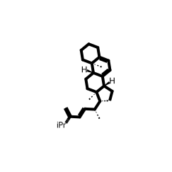 C=C(C=C[C@@H](C)[C@H]1CC[C@H]2C3=CC=C4CCCC[C@]4(C)[C@H]3CC[C@]12C)C(C)C